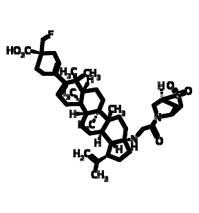 C=C(C)[C@@H]1CC[C@]2(NCC(=O)N3C[C@@H]4CC3CS4(=O)=O)CC[C@]3(C)[C@H](CC[C@@H]4[C@@]5(C)CC=C(C6=CC[C@](CF)(C(=O)O)CC6)C(C)(C)[C@@H]5CC[C@]43C)[C@@H]12